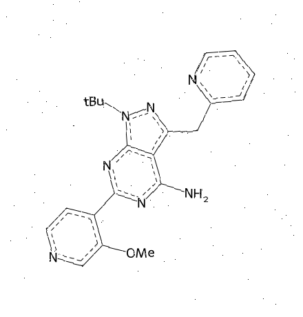 COc1cnccc1-c1nc(N)c2c(Cc3ccccn3)nn(C(C)(C)C)c2n1